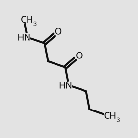 CCCNC(=O)CC(=O)NC